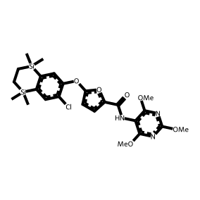 COc1nc(OC)c(NC(=O)c2ccc(Oc3cc4c(cc3Cl)[Si](C)(C)CC[Si]4(C)C)o2)c(OC)n1